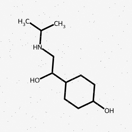 CC(C)NCC(O)C1CCC(O)CC1